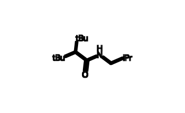 CC(C)CNC(=O)C(C(C)(C)C)C(C)(C)C